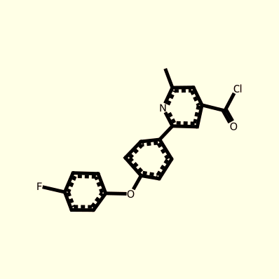 Cc1cc(C(=O)Cl)cc(-c2ccc(Oc3ccc(F)cc3)cc2)n1